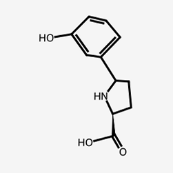 O=C(O)[C@@H]1CCC(c2cccc(O)c2)N1